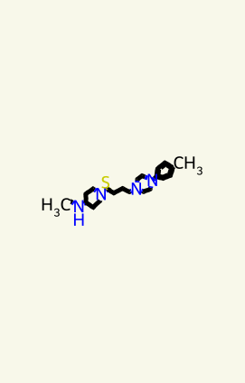 CCNC1CCN(C(=S)CCCN2CCN(c3ccc(C)cc3)CC2)CC1